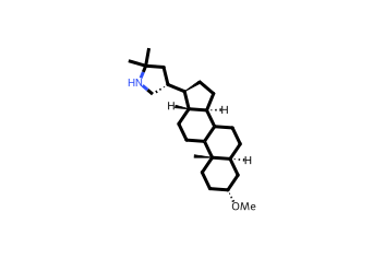 CO[C@@H]1CC[C@]2(C)C3CC[C@@H]4[C@@H]([C@@H]5CNC(C)(C)C5)CC[C@H]4C3CC[C@H]2C1